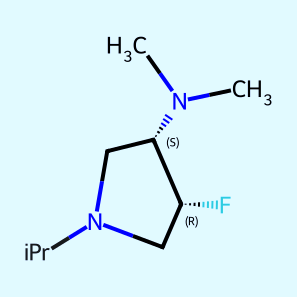 CC(C)N1C[C@@H](F)[C@@H](N(C)C)C1